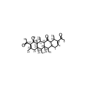 CC(=O)C1=CCC2C(C(=O)C3C(C)C4(C)C(=O)C(C(C)=O)=C(C)CC4(C)C(C)C3(C)C2C)C1C